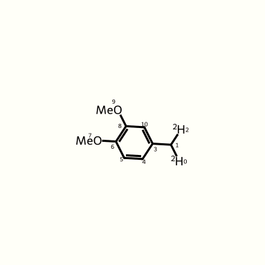 [2H]C([2H])c1ccc(OC)c(OC)c1